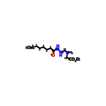 CCCCCCCCCCCCCCCC(=O)NNCN(C)CC(=O)OCC